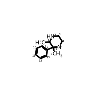 CC1NCC[N]C1(C)c1ccccc1